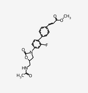 COC(=O)C=Cc1ccc(-c2ccc(N3CC(CNC(C)=O)OC3=O)cc2F)cc1